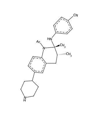 CC(=O)N1c2ccc(C3CCNCC3)cc2C[C@@H](C)[C@@]1(C)Nc1ccc(C#N)cc1